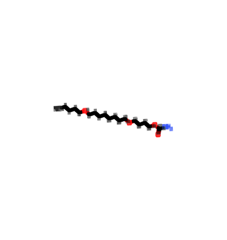 N#CCCCCOCCCCCCCCOCCCCOC(N)=O